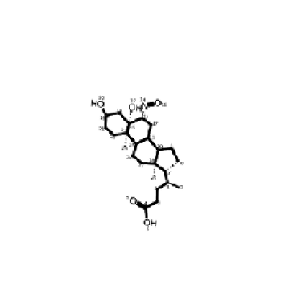 C[C@@H](CCC(=O)O)[C@H]1CCC2C3C[C@@H](N=O)[C@]4(O)CC(O)CC[C@]4(C)C3CC[C@@]21C